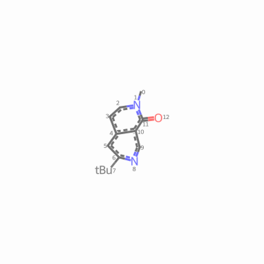 Cn1ccc2cc(C(C)(C)C)ncc2c1=O